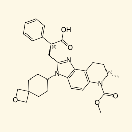 COC(=O)N1c2ccc3c(nc(C[C@H](C(=O)O)c4ccccc4)n3C3CCC4(CC3)COC4)c2CC[C@@H]1C